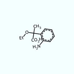 CCOC(C)(C(=O)O)c1ccccc1N